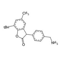 Cc1cc2c(c(C(C)(C)C)c1)OC(=O)C2c1ccc(CN)cc1